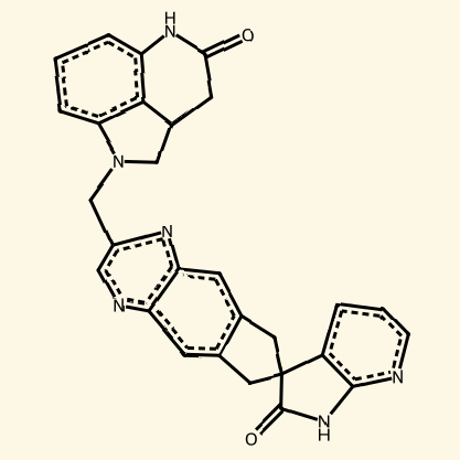 O=C1CC2CN(Cc3cnc4cc5c(cc4n3)CC3(C5)C(=O)Nc4ncccc43)c3cccc(c32)N1